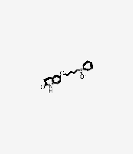 O=c1ccc2cc(OCCCC[S+]([O-])c3ccccc3)ccc2[nH]1